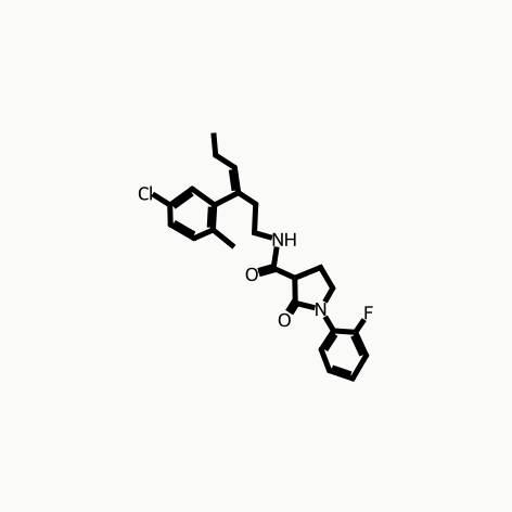 CC/C=C(/CCNC(=O)C1CCN(c2ccccc2F)C1=O)c1cc(Cl)ccc1C